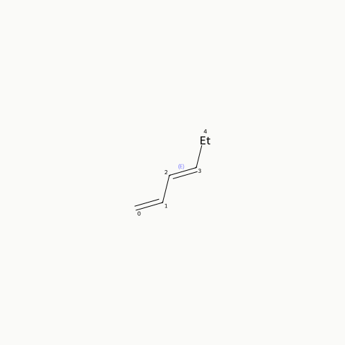 C=C/C=C/CC